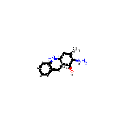 Nc1c(C(F)(F)F)cc2[nH]c3ccccc3cc-2c1=O